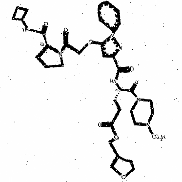 O=C(CC[C@H](NC(=O)c1cc(OCC(=O)N2CCC[C@H]2C(=O)NC2CCC2)n(-c2ccccc2)n1)C(=O)N1CCN(C(=O)O)CC1)OCC1CCOC1